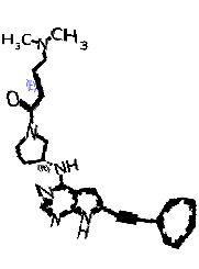 CN(C)C/C=C/C(=O)N1CC[C@@H](Nc2ncnc3[nH]c(C#Cc4ccccc4)cc23)C1